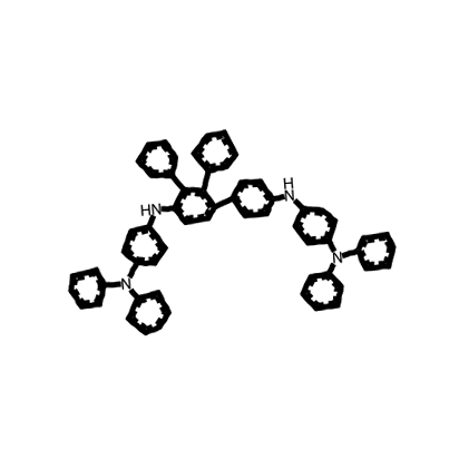 c1ccc(-c2c(Nc3ccc(N(c4ccccc4)c4ccccc4)cc3)ccc(-c3ccc(Nc4ccc(N(c5ccccc5)c5ccccc5)cc4)cc3)c2-c2ccccc2)cc1